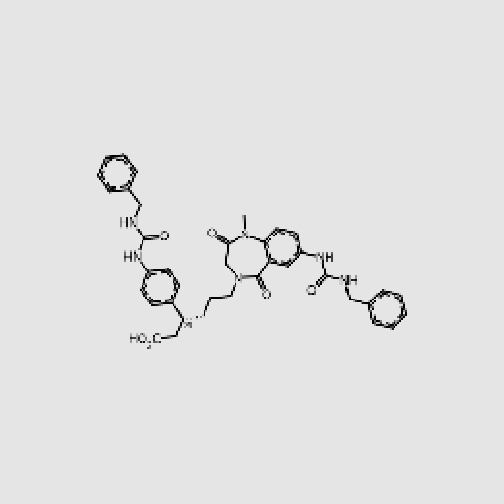 CN1C(=O)CN(CCC[C@H](CC(=O)O)c2ccc(NC(=O)NCc3ccccc3)cc2)C(=O)c2cc(NC(=O)NCc3ccccc3)ccc21